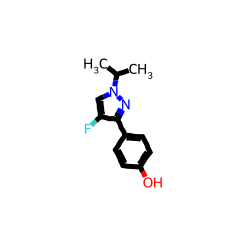 CC(C)n1cc(F)c(-c2ccc(O)cc2)n1